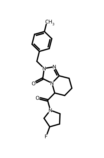 Cc1ccc(Cn2nc3n(c2=O)C(C(=O)N2CCC(F)C2)CCC3)cc1